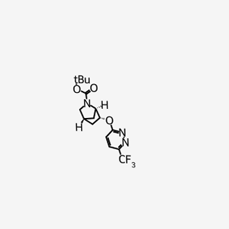 CC(C)(C)OC(=O)N1C[C@@H]2C[C@@H]1[C@H](Oc1ccc(C(F)(F)F)nn1)C2